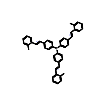 Cc1ccccc1/C=C/c1ccc(P(c2ccc(/C=C/c3ccccc3C)cc2)c2ccc(/C=C/c3ccccc3C)cc2)cc1